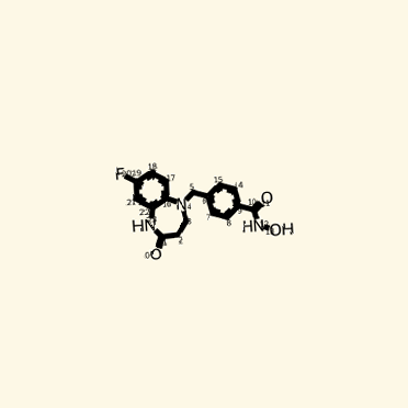 O=C1CCN(Cc2ccc(C(=O)NO)cc2)c2ccc(F)cc2N1